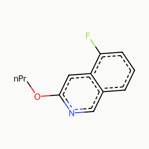 CCCOc1cc2c(F)cccc2cn1